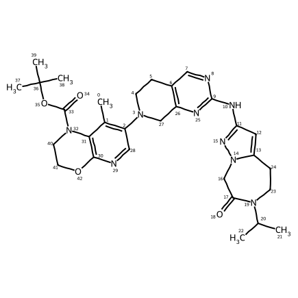 Cc1c(N2CCc3cnc(Nc4cc5n(n4)CC(=O)N(C(C)C)CC5)nc3C2)cnc2c1N(C(=O)OC(C)(C)C)CCO2